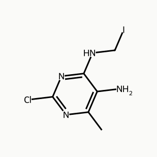 Cc1nc(Cl)nc(NCI)c1N